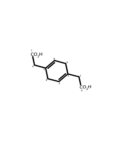 O=C(O)CC1=CCC(CC(=O)O)=CC1